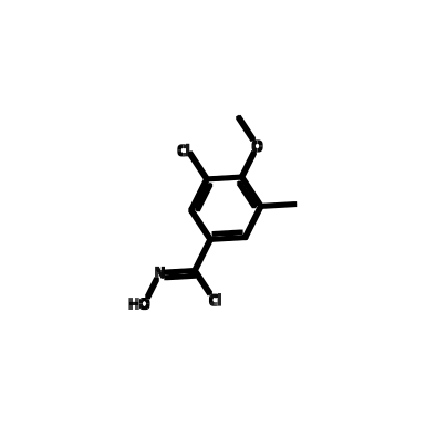 COc1c(C)cc(C(Cl)=NO)cc1Cl